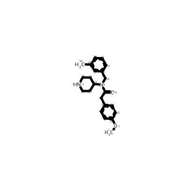 COc1ccc(CC(=O)N(Cc2cccc(C)c2)C2CCNCC2)cc1